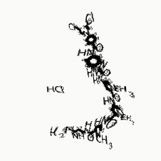 Cl.Cn1cc(NC(=O)c2cc(NC(=O)c3cc(NC(=O)c4nc5cc(NC(=O)c6ccc(N(CCCl)CCCl)cc6)ccc5[nH]4)cn3C)cn2C)cc1C(=O)NCCC(=N)N